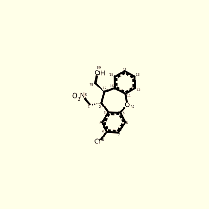 O=[N+]([O-])C[C@H]1c2cc(Cl)ccc2Oc2ccccc2[C@@H]1CO